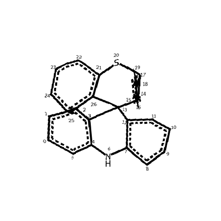 c1ccc2c(c1)Nc1ccccc1C21c2ccccc2Sc2ccccc21